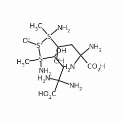 CS(N)(C(O)CC(N)(N)C(=O)O)[S+]([O-])S(C)(N)C(O)CC(N)(N)C(=O)O